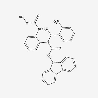 CC(c1ccccc1[N+](=O)[O-])N(C(=O)OC1c2ccccc2-c2ccccc21)c1ccccc1NC(=O)OC(C)(C)C